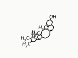 C=C(CCCC1CCCC2=CCC3CC(O)CCC3(C)C2CCC1(C)C)C(C)C